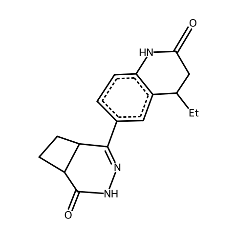 CCC1CC(=O)Nc2ccc(C3=NNC(=O)C4CCC34)cc21